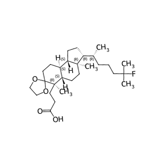 C[C@H](CCCC(C)(C)F)[C@H]1CC[C@H]2[C@@H]3CCC4(OCCO4)[C@](C)(CCC(=O)O)[C@H]3CC[C@]12C